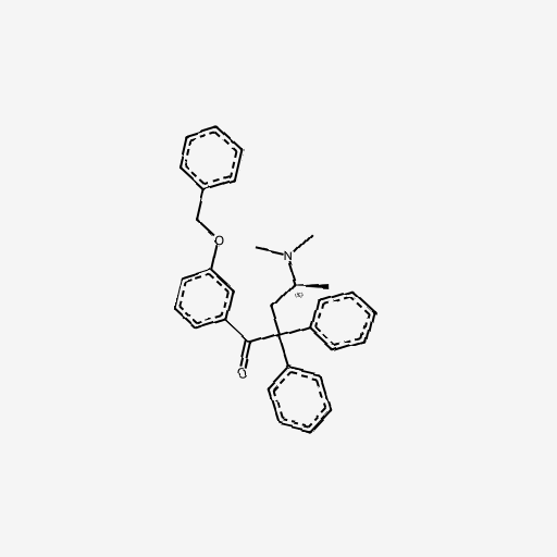 C[C@@H](CC(C(=O)c1cccc(OCc2ccccc2)c1)(c1ccccc1)c1ccccc1)N(C)C